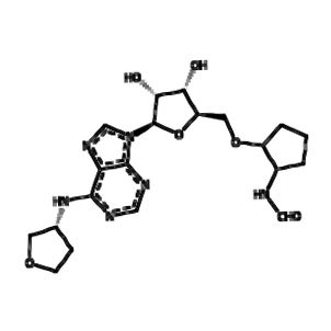 O=CNC1CCCC1OC[C@H]1O[C@@H](n2cnc3c(N[C@@H]4CCOC4)ncnc32)[C@H](O)[C@@H]1O